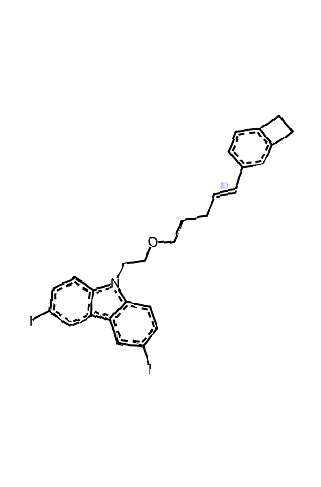 Ic1ccc2c(c1)c1cc(I)ccc1n2CCOCCC/C=C/c1ccc2c(c1)CC2